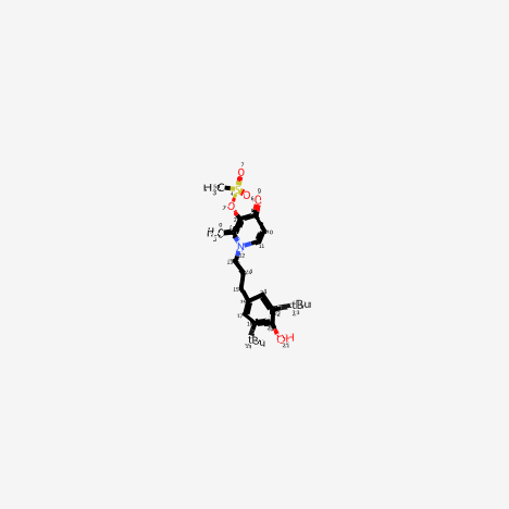 Cc1c(OS(C)(=O)=O)c(=O)ccn1CCCc1cc(C(C)(C)C)c(O)c(C(C)(C)C)c1